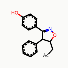 CC(=O)CC1ON=C(c2ccc(O)cc2)C1c1ccccc1